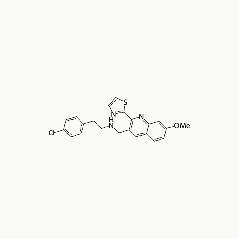 COc1ccc2cc(CNCCc3ccc(Cl)cc3)c(-c3nccs3)nc2c1